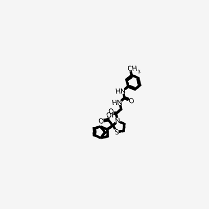 Cc1cccc(NC(=O)NCC(=O)N2CCSC2(C(=O)O)C2CC3C=CC2C3)c1